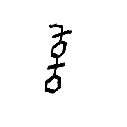 O=CCS(=O)(=O)c1ccc(S(=O)(=O)c2ccccc2)cc1